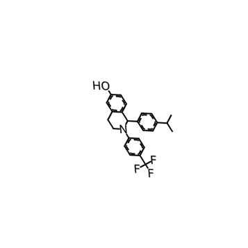 CC(C)c1ccc(C2c3ccc(O)cc3CCN2c2ccc(C(F)(F)F)cc2)cc1